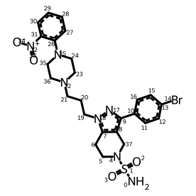 NS(=O)(=O)N1CCc2c(c(-c3ccc(Br)cc3)nn2CCCN2CCN(c3ccccc3[N+](=O)[O-])CC2)C1